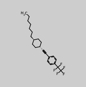 CCCCCCC[C@H]1CC[C@H](C#Cc2ccc(C(F)(F)C(F)(F)F)cc2)CC1